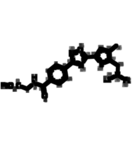 CCOC(=O)CNC(=O)c1ccc(-c2noc(-c3cc(C)c(CN(CC)CC)s3)n2)cc1